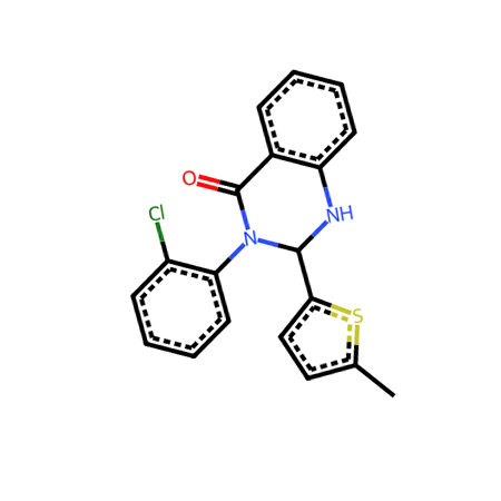 Cc1ccc(C2Nc3ccccc3C(=O)N2c2ccccc2Cl)s1